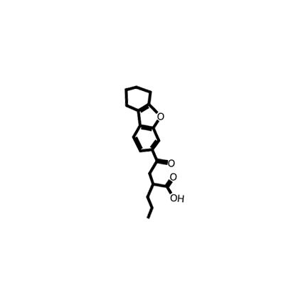 CCCC(CC(=O)c1ccc2c3c(oc2c1)CCCC3)C(=O)O